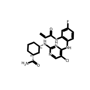 C=CC(=O)Nc1cc(F)ccc1Nc1nc(N[C@H]2CCC[C@@H](C(N)=O)C2)ncc1Cl